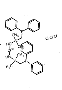 C[Si](C)(CP(c1ccccc1)c1ccccc1)[NH][Zr+3][NH][Si](C)(C)CP(c1ccccc1)c1ccccc1.[Cl-].[Cl-].[Cl-]